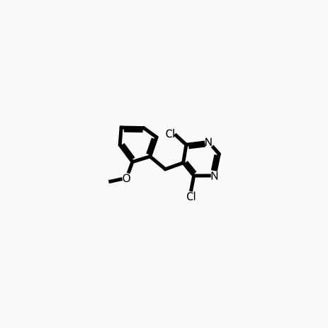 COc1ccccc1Cc1c(Cl)ncnc1Cl